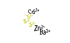 [Ba+2].[Cd+2].[S-2].[S-2].[S-2].[Zn+2]